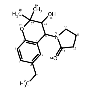 CCc1ccc2c(c1)C(N1CCCC1=O)C(O)C(C)(C)O2